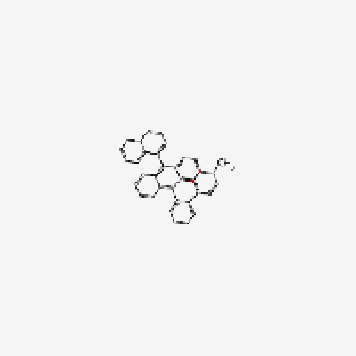 Cc1ccc(-c2ccccc2-c2c3ccccc3c(-c3cccc4ccccc34)c3ccccc23)cc1